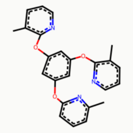 Cc1cccc(Oc2cc(Oc3ncccc3C)cc(Oc3ncccc3C)c2)n1